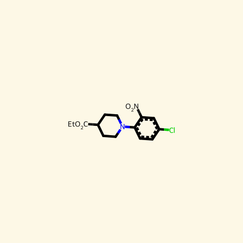 CCOC(=O)C1CCN(c2ccc(Cl)cc2[N+](=O)[O-])CC1